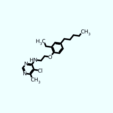 CCCCCc1ccc(OCCNc2ncnc(C)c2Cl)c(CC)c1